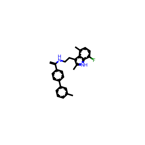 C=C(NCCc1c(C)[nH]c2c(F)ccc(C)c12)c1ccc(-c2cccc(C)c2)cc1